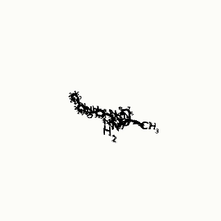 CC#CC(=O)N1CCC[C@H]1c1nc(-c2ccc(C(=O)Nc3cc(N4CCCC4)ccn3)cc2)c2c(N)nccn12